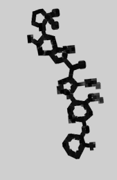 Cc1cc(Oc2ccccc2F)ncc1-n1ncc(C(=O)c2cc3cc(F)c(N4CCCS4(=O)=O)cc3[nH]2)c1N